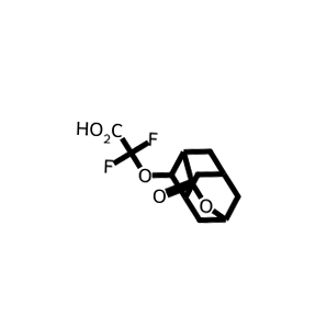 O=C1OC2CC3CC(C2)C(OC(F)(F)C(=O)O)C1C3